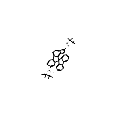 CC1(C)OB(c2ccc3c(c2)C2(c4ccccc4-c4ccccc42)c2c-3ccc3cc(B4OC(C)(C)C(C)(C)O4)ccc23)OC1(C)C